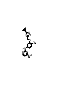 CNc1ccnc(Nc2ccc(OC)c(OCC3=NC(C4CC4)N=N3)c2)n1